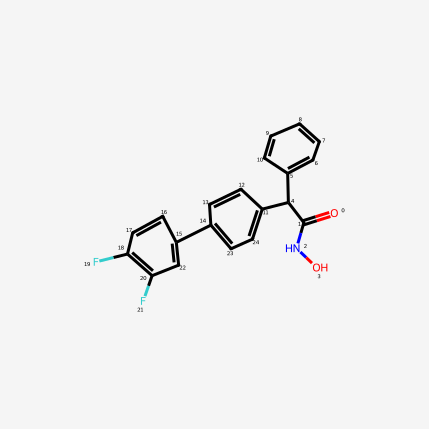 O=C(NO)C(c1ccccc1)c1ccc(-c2ccc(F)c(F)c2)cc1